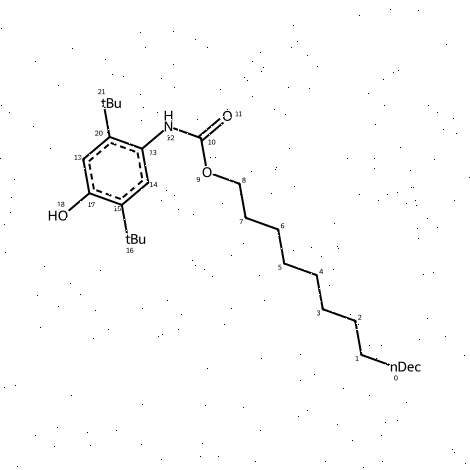 CCCCCCCCCCCCCCCCCCOC(=O)Nc1cc(C(C)(C)C)c(O)cc1C(C)(C)C